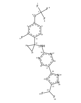 Fc1cc(OC(F)(F)F)ccc1C1(Nc2ncc(-c3nnc(C(F)F)o3)cn2)CC1